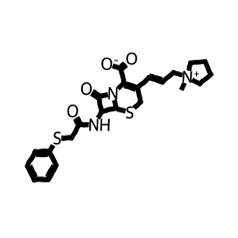 C[N+]1(C/C=C/C2=C(C(=O)[O-])N3C(=O)C(NC(=O)CSc4ccccc4)C3SC2)CCCC1